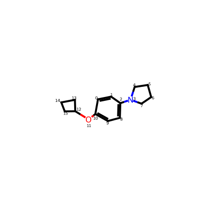 c1cc(N2CCCC2)ccc1OC1CCC1